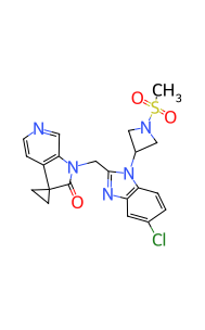 CS(=O)(=O)N1CC(n2c(CN3C(=O)C4(CC4)c4ccncc43)nc3cc(Cl)ccc32)C1